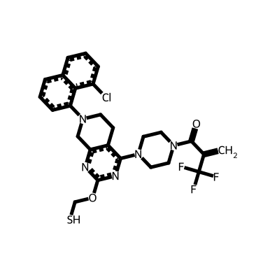 C=C(C(=O)N1CCN(c2nc(OCS)nc3c2CCN(c2cccc4cccc(Cl)c24)C3)CC1)C(F)(F)F